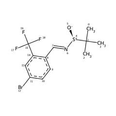 CC(C)(C)[S@+]([O-])/N=C/c1ccc(Br)cc1C(F)(F)F